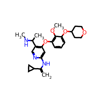 C=C(Nc1cc(Oc2cccc(OC3CCOCC3)c2OC)c(C(C)NC)cn1)C1CC1